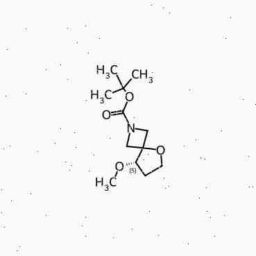 CO[C@H]1CCOC12CN(C(=O)OC(C)(C)C)C2